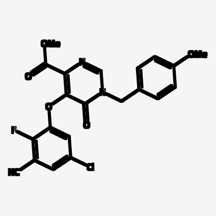 COC(=O)c1ncn(Cc2ccc(OC)cc2)c(=O)c1Oc1cc(Cl)cc(C#N)c1F